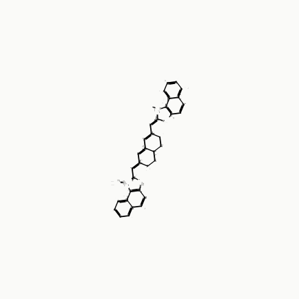 CCN1/C(=C/C2=CC3=C/C(=C/c4sc5ccc6ccccc6c5[n+]4CC)CCC3CC2)Sc2ccc3ccccc3c21